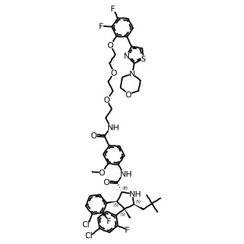 COc1cc(C(=O)NCCOCCOCCOc2c(-c3csc(N4CCOCC4)n3)ccc(F)c2F)ccc1NC(=O)[C@@H]1N[C@@H](CC(C)(C)C)[C@](C)(c2ccc(Cl)cc2F)[C@H]1c1cccc(Cl)c1F